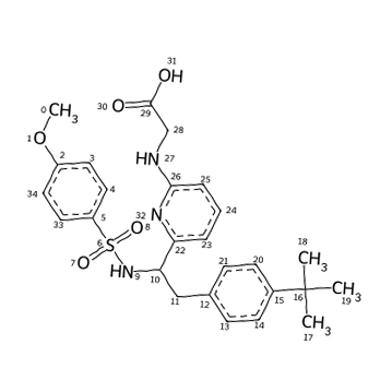 COc1ccc(S(=O)(=O)NC(Cc2ccc(C(C)(C)C)cc2)c2cccc(NCC(=O)O)n2)cc1